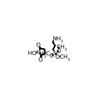 CO[Si](CCCN)(OC)OC.O=C1CCC(=O)N1O